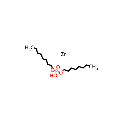 CCCCCCCCOP(=O)(O)OCCCCCCCC.[Zn]